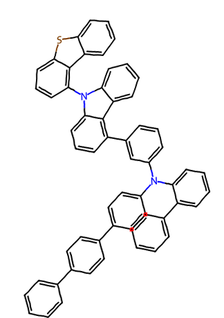 c1ccc(-c2ccc(-c3ccc(N(c4cccc(-c5cccc6c5c5ccccc5n6-c5cccc6sc7ccccc7c56)c4)c4ccccc4-c4ccccc4)cc3)cc2)cc1